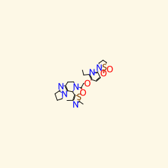 CCc1nc(N2CCCS2(=O)=O)ccc1OCC(=O)N1CCc2nc3n(c2C1c1sc(C)nc1C)CCC3